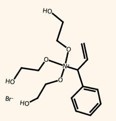 C=CC(c1ccccc1)[N+](OCCO)(OCCO)OCCO.[Br-]